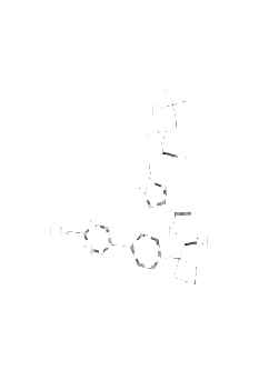 N=C(NC(=O)c1cnn(CC(=O)NCC(F)(F)F)c1)C1(c2ccc(-c3cnc(N)nc3)cc2)CCC1